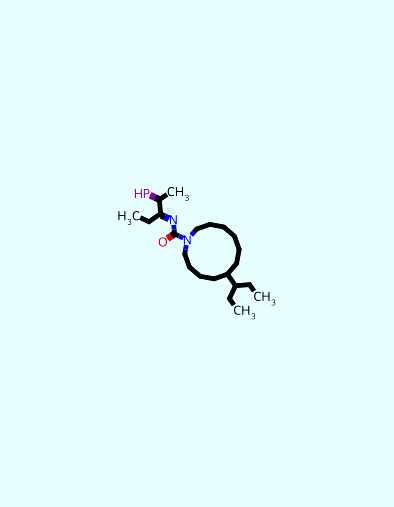 CC/C(=N\C(=O)N1CCCCCCC(C(CC)CC)CCCC1)C(C)=P